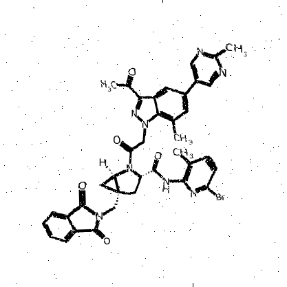 CC(=O)c1nn(CC(=O)N2[C@H](C(=O)Nc3nc(Br)ccc3C)C[C@@]3(CN4C(=O)c5ccccc5C4=O)C[C@@H]23)c2c(C)cc(-c3cnc(C)nc3)cc12